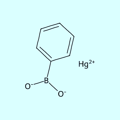 [Hg+2].[O-]B([O-])c1ccccc1